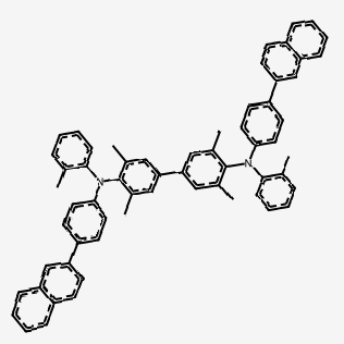 Cc1ccccc1N(c1ccc(-c2ccc3ccccc3c2)cc1)c1c(C)cc(-c2cc(C)c(N(c3ccc(-c4ccc5ccccc5c4)cc3)c3ccccc3C)c(C)c2)cc1C